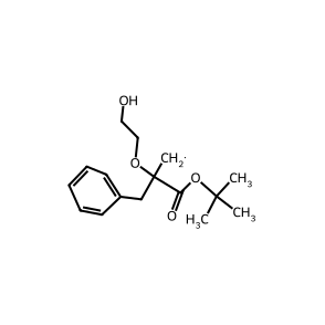 [CH2]C(Cc1ccccc1)(OCCO)C(=O)OC(C)(C)C